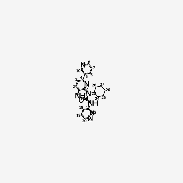 Nc1ccc(-c2cccnc2)nc1N(C(=O)Nc1cccnn1)C1CCCCC1